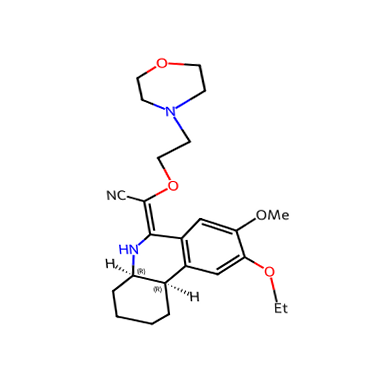 CCOc1cc2c(cc1OC)C(=C(C#N)OCCN1CCOCC1)N[C@@H]1CCCC[C@H]21